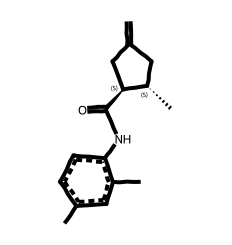 C=C1C[C@H](C(=O)Nc2ccc(C)cc2C)[C@@H](C)C1